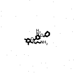 Cc1ccc(CN(CCCN)C(=O)c2ccc(OCc3ccccc3)c(N)c2)c(C)c1